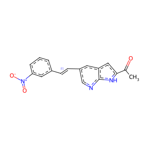 CC(=O)c1cc2cc(/C=C/c3cccc([N+](=O)[O-])c3)cnc2[nH]1